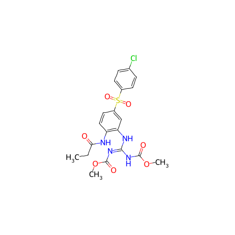 CCC(=O)Nc1ccc(S(=O)(=O)c2ccc(Cl)cc2)cc1NC(=NC(=O)OC)NC(=O)OC